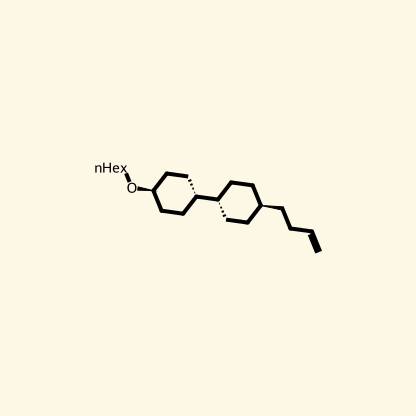 C=CCC[C@H]1CC[C@H]([C@H]2CC[C@H](OCCCCCC)CC2)CC1